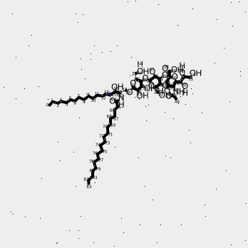 CCCCCCCCCCCCC/C=C/[C@@H](O)[C@H](CO[C@@H]1O[C@H](CO)[C@@H](O[C@@H]2O[C@H](CO)[C@H](O)[C@H](O[C@]3(C(=O)O)C[C@H](O)[C@@H](NC(C)=O)[C@H]([C@H](O)[C@H](O)CO)O3)[C@H]2O)[C@H](O)[C@H]1O)NC(=O)CCCCCCCCCCCCCCCCCCC